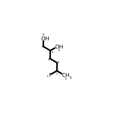 CC(I)CCC(O)CO